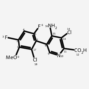 COc1c(F)cc(F)c(-c2cnc(C(=O)O)c(Cl)c2N)c1Cl